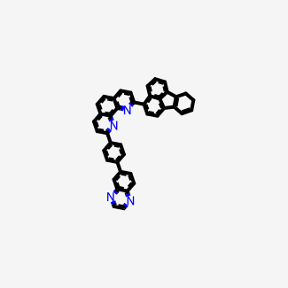 C1=CC2=C(CC1)c1cccc3c(-c4ccc5ccc6ccc(-c7ccc(-c8ccc9nccnc9c8)cc7)nc6c5n4)ccc2c13